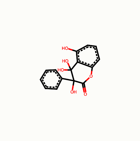 O=C1Oc2cccc(O)c2C(O)(O)C1(O)c1ccccc1